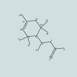 CC(=O)CC(C)C1C(C)(C)C=C(C)CC1(C)C